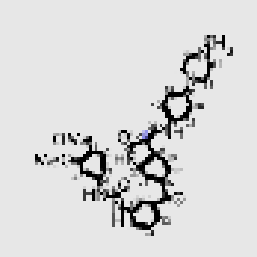 COc1ccc(NC(=O)Nc2cccc(C(=O)c3ccc4c(c3)NC(=O)/C4=C/Nc3ccc(N4CCN(C)CC4)cc3)c2)cc1OC